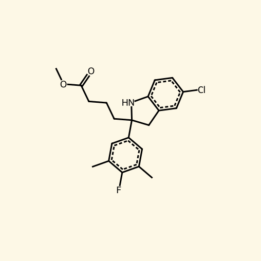 COC(=O)CCCC1(c2cc(C)c(F)c(C)c2)Cc2cc(Cl)ccc2N1